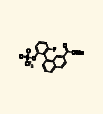 COC(=O)c1ccc2cccc(-c3c(F)cccc3OS(=O)(=O)C(F)(F)F)c2c1